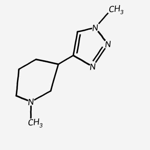 CN1CCCC(c2cn(C)nn2)C1